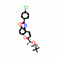 C[C@H](O[Si](C)(C)C(C)(C)C)C(=O)/C=C\c1cccc2oc(-c3ccc(Cl)cc3)nc12